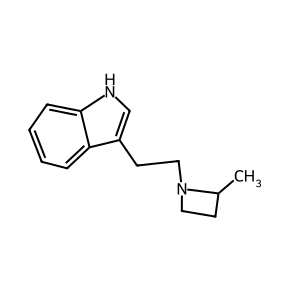 CC1CCN1CCc1c[nH]c2ccccc12